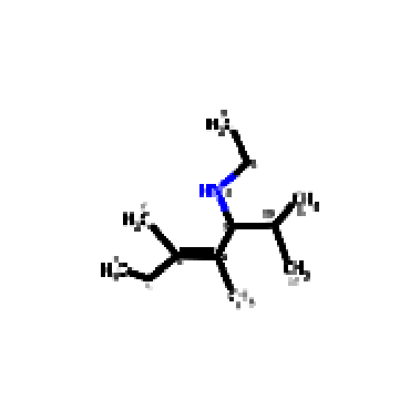 CCNC(/C(C)=C(\C)CC)C(C)C